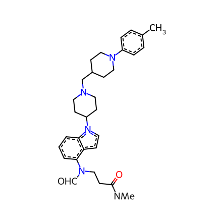 CNC(=O)CCN(C=O)c1cccc2c1ccn2C1CCN(CC2CCN(c3ccc(C)cc3)CC2)CC1